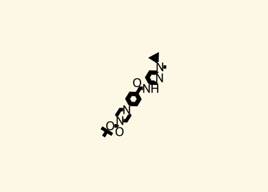 CN(c1ccc(NC(=O)c2ccc(N3CCN(C(=O)OC(C)(C)C)CC3)cc2)cn1)C1CC1